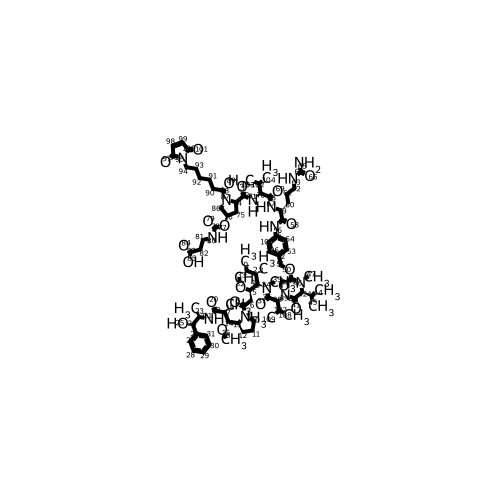 CC[C@H](C)[C@@H]([C@@H](CC(=O)N1CCC[C@H]1[C@H](OC)[C@@H](C)C(=O)N[C@H](C)[C@@H](O)c1ccccc1)OC)N(C)C(=O)[C@H](NC(=O)[C@H](C(C)C)N(C)C(=O)OCc1ccc(NC(=O)[C@@H](CCCNC(N)=O)NC(=O)[C@@H](NC(=O)C2C[C@@H](OC(=O)NCCC(=O)O)CN2C(=O)CCCCCN2C(=O)C=CC2=O)C(C)C)cc1)C(C)C